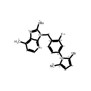 CCCCc1nc2c(C)ccnc2n1Cc1ccc(-n2c(Br)ccc2C#N)cc1F